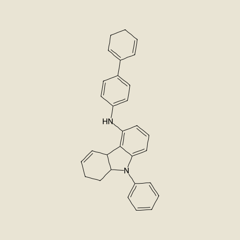 C1=CC(c2ccc(Nc3cccc4c3C3C=CCCC3N4c3ccccc3)cc2)=CCC1